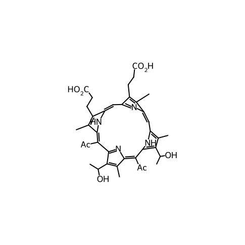 CC(=O)c1c2nc(c(C(C)=O)c3[nH]c(cc4nc(cc5[nH]c1c(C)c5CCC(=O)O)C(CCC(=O)O)=C4C)c(C)c3C(C)O)C(C)=C2C(C)O